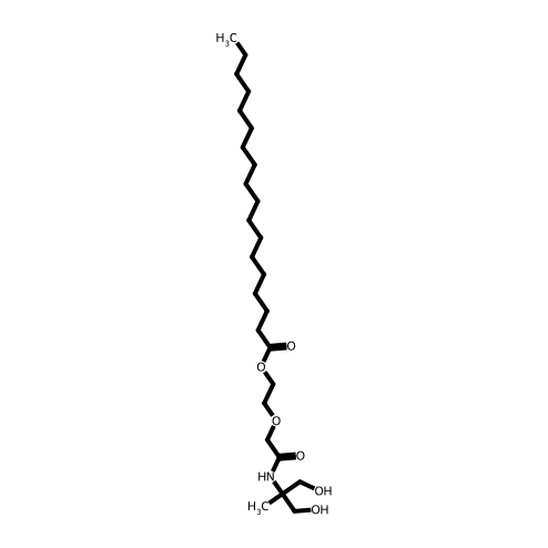 CCCCCCCCCCCCCCCCCC(=O)OCCOCC(=O)NC(C)(CO)CO